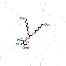 CCCCCCCCCCCCCCCCSCC(CO[C@H]1OC[C@@H](OC(C)=O)[C@H](OC(C)=O)[C@H]1OC(C)=O)CSCCCCCCCCCCCCCCCC